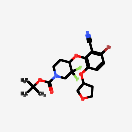 CC(C)(C)OC(=O)N1CCC(Oc2c(OC3CCOC3)ccc(Br)c2C#N)C(F)(F)C1